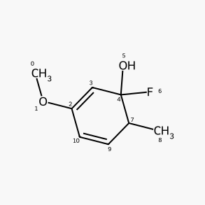 COC1=CC(O)(F)C(C)C=C1